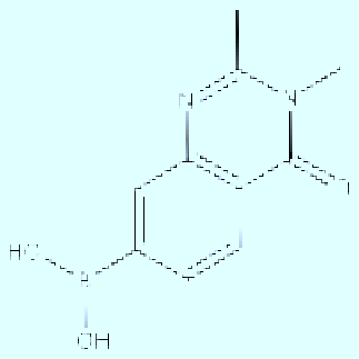 Cc1nc2cc(B(O)O)ccc2c(=O)n1C